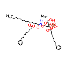 CCCCCCCCCCCC(CC(=O)NOC1C[C@@H](OC(=O)CCCCCCCCc2ccccc2)[C@H](OS(=O)(=O)[O-])[C@@H](CO)O1)OC(=O)CCCCCCCCc1ccccc1.[Na+]